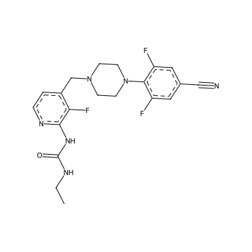 CCNC(=O)Nc1nccc(CN2CCN(c3c(F)cc(C#N)cc3F)CC2)c1F